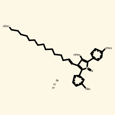 CCCCCCCCCCCCCCCCCCCCCCCC=CC1=C(c2cccc(CCCC)c2)[N+](=[N-])C(c2ccc(CCCCCC)cc2)=C1CCCCCC.[H-].[H-].[Ni]